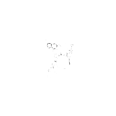 COc1ccc2c(OC3C[C@H]4C(=O)N[C@]5(C(=O)NS(=O)(=O)C6CC6)C[C@H]5/C=C\CCOCC[C@H](NC(=O)OC(C)(C)C)C(=O)N4C3)nc(N(C)C)cc2c1